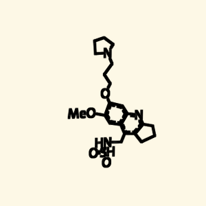 COc1cc2c(CN[SH](=O)=O)c3c(nc2cc1OCCCN1CCCC1)CCC3